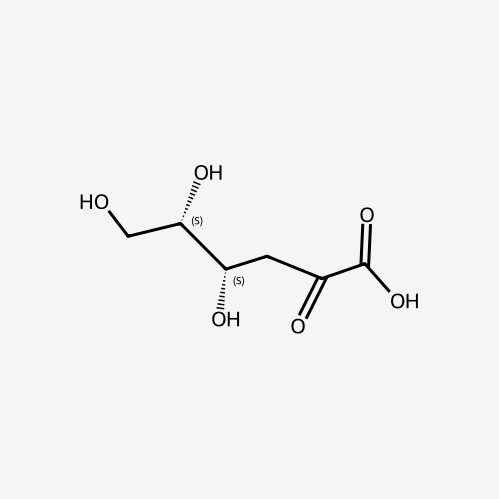 O=C(O)C(=O)C[C@H](O)[C@@H](O)CO